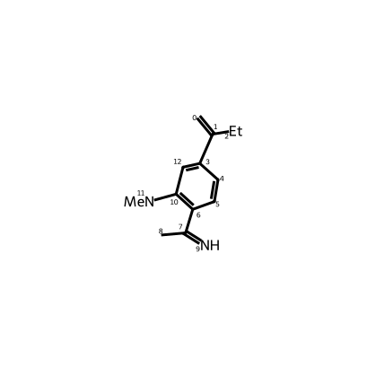 C=C(CC)c1ccc(C(C)=N)c(NC)c1